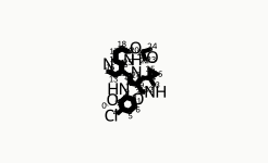 COc1c(Cl)cccc1Nc1c(-c2ccnc3ccc(OC4COC4)nc23)[nH]c2c1C(=O)NCC21CC1